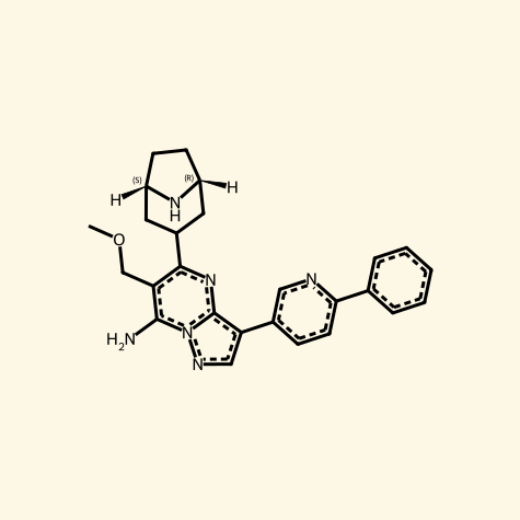 COCc1c(C2C[C@H]3CC[C@@H](C2)N3)nc2c(-c3ccc(-c4ccccc4)nc3)cnn2c1N